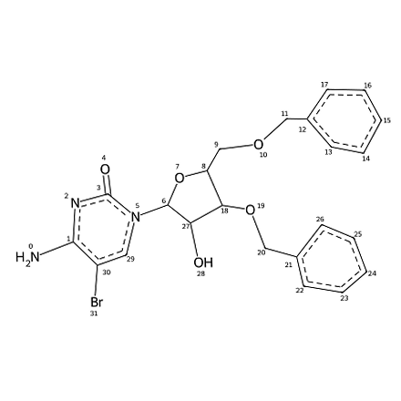 Nc1nc(=O)n(C2OC(COCc3ccccc3)C(OCc3ccccc3)C2O)cc1Br